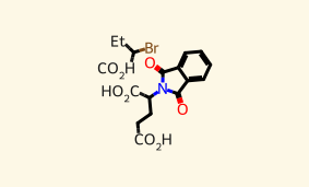 CCC(Br)C(=O)O.O=C(O)CCC(C(=O)O)N1C(=O)c2ccccc2C1=O